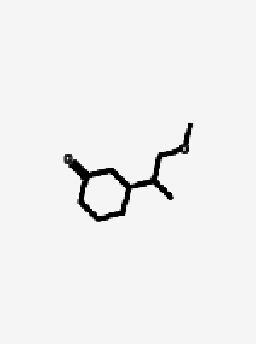 COCC(C)C1CCCC(=O)C1